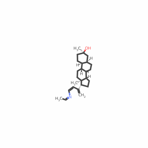 C=C(/C=C\N=C/C)[C@H]1CC[C@H]2[C@@H]3CC[C@@H]4C[C@](C)(O)CC[C@@H]4[C@H]3CC[C@]12C